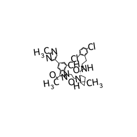 CC(=O)c1nn(CC(=O)N2[C@H](C(=O)NCCc3cc(Cl)ccc3Cl)C[C@@]3(C)C[C@@H]23)c2c(C)cc(-c3cnc(C)nc3)cc12